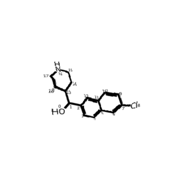 OC(c1ccc2cc(Cl)ccc2c1)C1CCNCC1